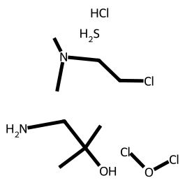 CC(C)(O)CN.CN(C)CCCl.Cl.ClOCl.S